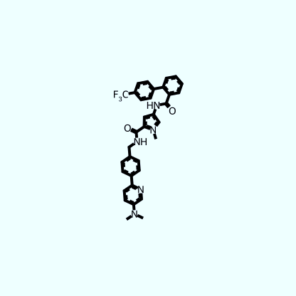 CN(C)c1ccc(-c2ccc(CNC(=O)c3cc(NC(=O)c4ccccc4-c4ccc(C(F)(F)F)cc4)cn3C)cc2)nc1